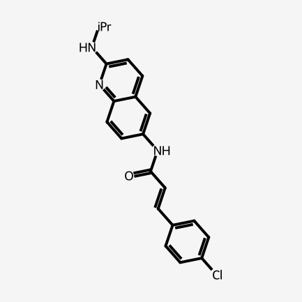 CC(C)Nc1ccc2cc(NC(=O)C=Cc3ccc(Cl)cc3)ccc2n1